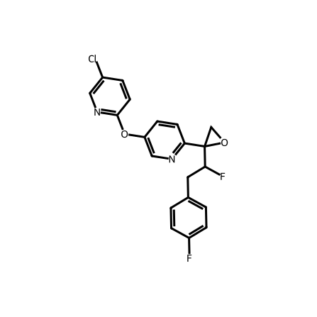 Fc1ccc(CC(F)C2(c3ccc(Oc4ccc(Cl)cn4)cn3)CO2)cc1